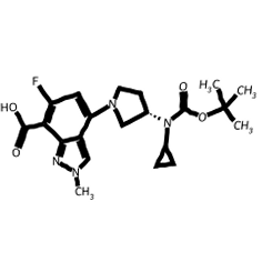 Cn1cc2c(N3CC[C@H](N(C(=O)OC(C)(C)C)C4CC4)C3)cc(F)c(C(=O)O)c2n1